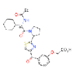 CCC(=O)N[C@H](C(=O)N1CCCC1c1nc(C(=O)c2cccc(OCC(=O)O)c2)cs1)C1CCCCC1